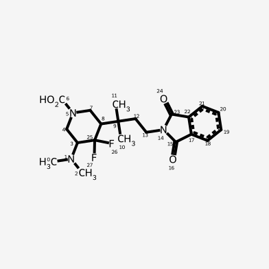 CN(C)C1CN(C(=O)O)CC(C(C)(C)CCN2C(=O)c3ccccc3C2=O)C1(F)F